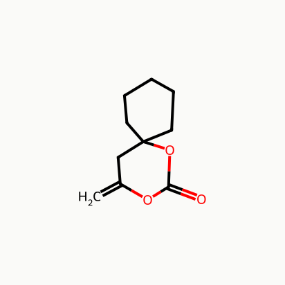 C=C1CC2(CCCCC2)OC(=O)O1